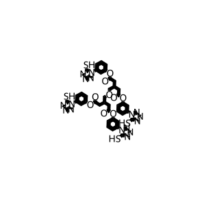 O=C(CC(COCC(CC(=O)Oc1cccc(-n2nnnc2S)c1)CC(=O)Oc1cccc(-n2nnnc2S)c1)CC(=O)Oc1cccc(-n2nnnc2S)c1)Oc1cccc(-n2nnnc2S)c1